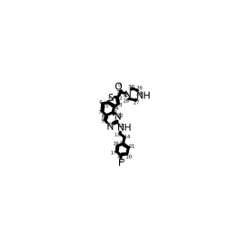 O=C(c1cc2c(ccc3cnc(NCCc4ccc(F)cc4)nc32)s1)N1CCNCC1